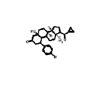 C[C@]12CCC3=C4C(c5ccc(Br)cc5)CC(=O)CC4(O)CC[C@H]3[C@@H]1CCC2C(=O)C1CC1